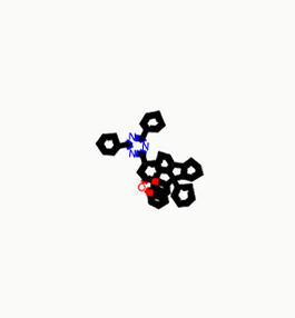 c1ccc(-c2nc(-c3ccccc3)nc(-c3cc4oc5ccccc5c4c4c5c(ccc34)-c3ccccc3C5(c3ccccc3)c3ccccc3)n2)cc1